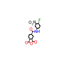 O=C(Nc1ccc(F)c([N+](=O)[O-])c1)c1ccc2c(c1)C(=O)OC2=O